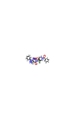 O=C(c1ccccc1)N1CC[C@@](O)(Cn2cnc3c(cnn3-c3ccccc3)c2=O)[C@@H](F)C1